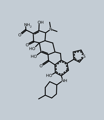 CC1CCC(Nc2cc(-c3ccsc3)c3c(c2O)C(=O)C2=C(O)C4(O)C(=O)C(C(N)=O)=C(O)C(N(C)C)C4CC2C3)CC1